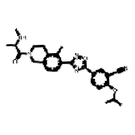 CNC(C)C(=O)N1CCc2c(ccc(-c3noc(-c4ccc(OC(C)C)c(C#N)c4)n3)c2C)C1